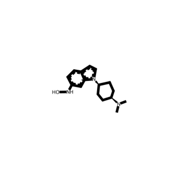 CN(C)[C@H]1CC[C@@H](n2ccc3ccc(NO)cc32)CC1